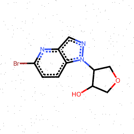 OC1COCC1n1ncc2nc(Br)ccc21